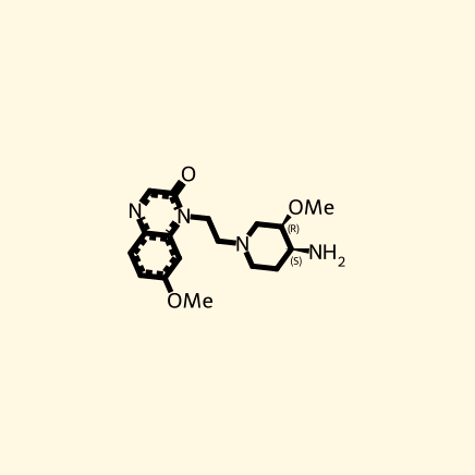 COc1ccc2ncc(=O)n(CCN3CC[C@H](N)[C@H](OC)C3)c2c1